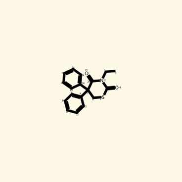 CCN1C(=O)SCC(c2ccccc2)(c2ccccc2)C1=O